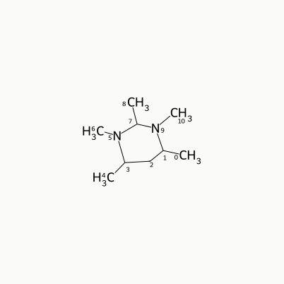 CC1CC(C)N(C)C(C)N1C